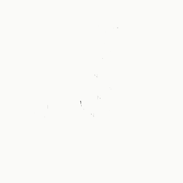 Cc1cc(F)ccc1[C@H]1CN(CC2(C)CC(C(=O)O)C2)CCN1C(=O)N(C)[C@H](C)c1cc(C(F)(F)F)cc(C(F)(F)F)c1